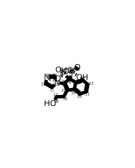 O=P(O)(O)C1(P(=O)(O)O)C(n2ccnc2)=C(CCO)c2ccccc21